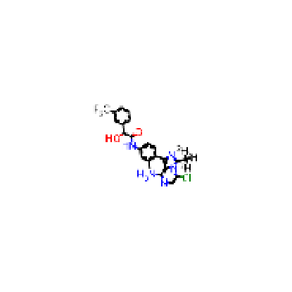 [2H]C([2H])([2H])c1nc(-c2ccc(NC(=O)C(O)c3cccc(C(F)(F)F)c3)cc2C)c2c(N)ncc(Cl)n12